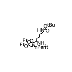 CCCCCN(CC(OCC)OCC)C(=O)[C@@H](N)CCCCNC(=O)OC(C)(C)C